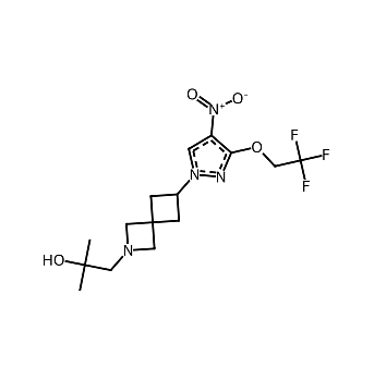 CC(C)(O)CN1CC2(CC(n3cc([N+](=O)[O-])c(OCC(F)(F)F)n3)C2)C1